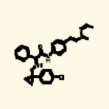 C/C=N\N(C)/C=C/c1ccc(NC(=O)C(NCC2(c3ccc(Cl)cc3)CC2)c2ccccc2)nc1